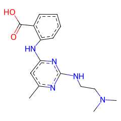 Cc1cc(Nc2ccccc2C(=O)O)nc(NCCN(C)C)n1